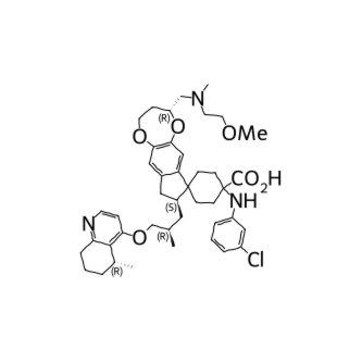 COCCN(C)C[C@H]1CCOc2cc3c(cc2O1)C1(CCC(Nc2cccc(Cl)c2)(C(=O)O)CC1)[C@@H](C[C@@H](C)COc1ccnc2c1[C@H](C)CCC2)C3